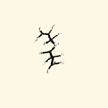 FC(F)C(F)C(F)(F)OC(F)C(F)(F)C(F)F